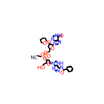 N#CCCOP(=O)(OCC1C[C@@H](OC2CCCCO2)C(n2cnc3c(=O)[nH]cnc32)O1)O[C@H]1CC(n2cnc3c(NC(=O)c4ccccc4)ncnc32)OC1CO